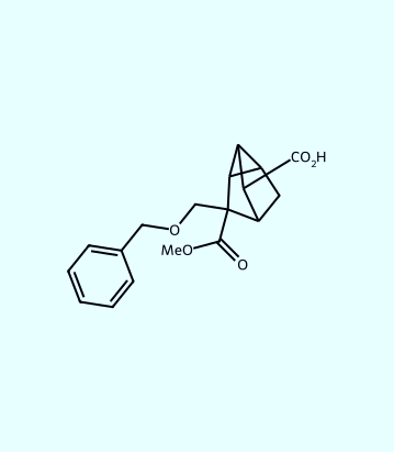 COC(=O)C1(COCc2ccccc2)C2CC3C(C2C(=O)O)C31